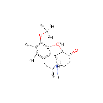 [2H]c1c([2H])c(OC([2H])([2H])[2H])c2c3c1C[C@]1([2H])[C@@H]4CCC(=O)C([2H])(O2)[C@]34CCN1C